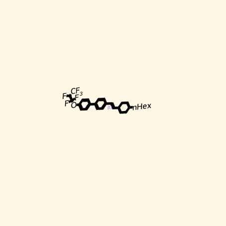 CCCCCCC1CCC(/C=C/c2ccc(-c3ccc(OC(F)(F)C(F)C(F)(F)F)cc3)cc2)CC1